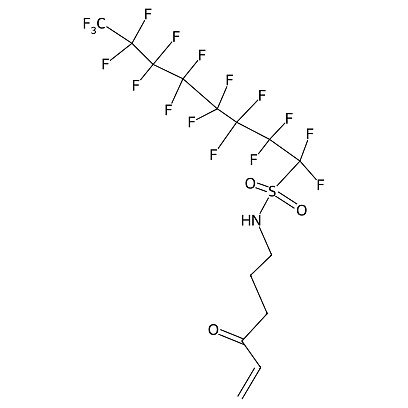 C=CC(=O)CCCNS(=O)(=O)C(F)(F)C(F)(F)C(F)(F)C(F)(F)C(F)(F)C(F)(F)C(F)(F)C(F)(F)F